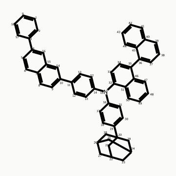 c1ccc(-c2ccc3ccc(-c4ccc(N(c5ccc(C67CC8CC(CC(C8)C6)C7)cc5)c5ccc(-c6cccc7ccccc67)c6ccccc56)cc4)cc3c2)cc1